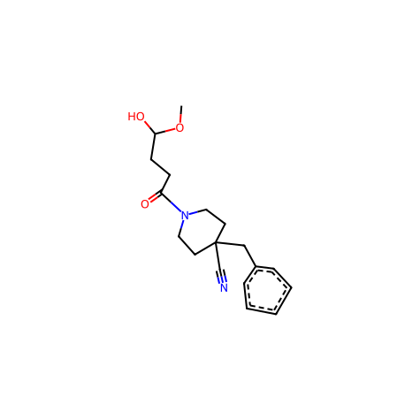 COC(O)CCC(=O)N1CCC(C#N)(Cc2ccccc2)CC1